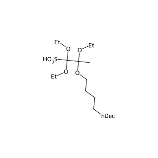 CCCCCCCCCCCCCCOC(C)(OCC)C(OCC)(OCC)S(=O)(=O)O